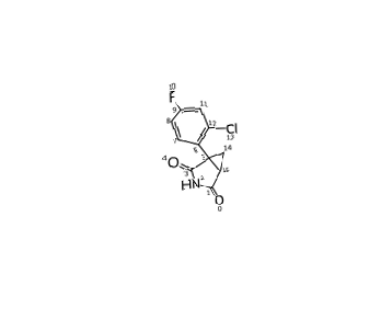 O=C1NC(=O)C2(c3ccc(F)cc3Cl)CC12